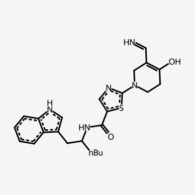 CCCCC(Cc1c[nH]c2ccccc12)NC(=O)c1cnc(N2CCC(O)=C(C=N)C2)s1